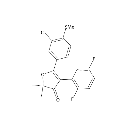 CSc1ccc(C2=C(c3cc(F)ccc3F)C(=O)C(C)(C)O2)cc1Cl